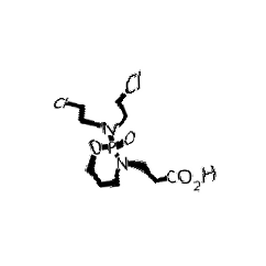 O=C(O)CCN1CCCOP1(=O)N(CCCl)CCCl